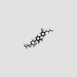 CCCCc1ccc(-c2ccc(C3CCC(OCCC)CO3)c(F)c2F)cc1F